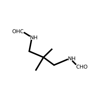 CC(C)(CNC=O)CNC=O